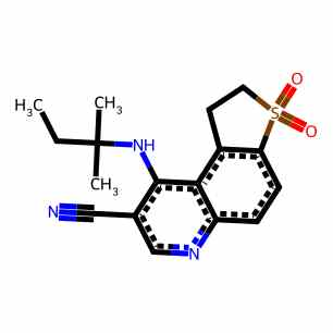 CCC(C)(C)Nc1c(C#N)cnc2ccc3c(c12)CCS3(=O)=O